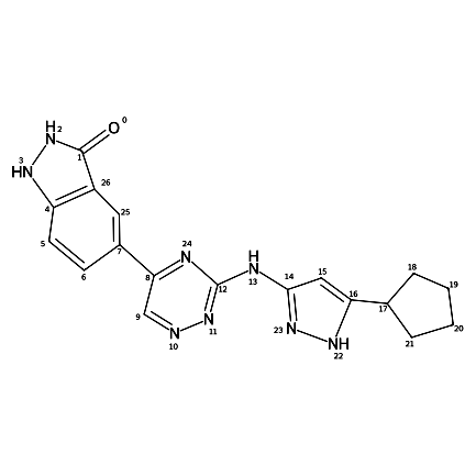 O=c1[nH][nH]c2ccc(-c3cnnc(Nc4cc(C5CCCC5)[nH]n4)n3)cc12